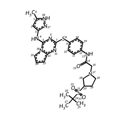 Cc1cc(Nc2nc(Sc3ccc(NC(=O)CN4CCC(S(=O)(=O)C(C)(C)C)C4)cc3)nc3cccn23)n[nH]1